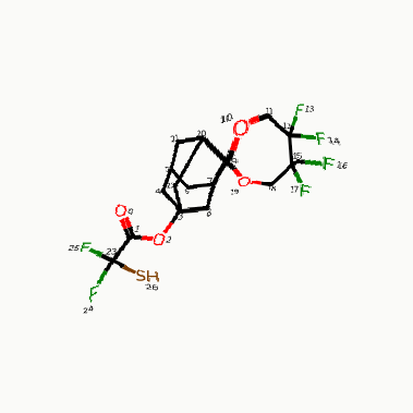 O=C(OC12CC3CC(C1)C1(OCC(F)(F)C(F)(F)CO1)C(C3)C2)C(F)(F)S